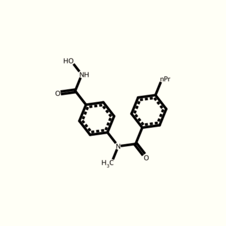 CCCc1ccc(C(=O)N(C)c2ccc(C(=O)NO)cc2)cc1